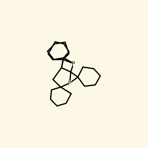 C1CCC2(CC1)CC13C4(CCCCC4)P(C14CCCCC4)C31P2C12CCCCC2